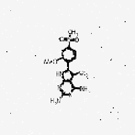 COc1cc(S(C)(=O)=O)ccc1-c1[nH]c2nc(N)nc(N)c2c1C(F)(F)F